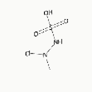 CN(Cl)NS(=O)(=O)O